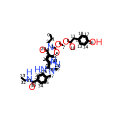 CCCN(C(=O)OCOC(=O)Cc1ccc(O)cc1)C(=O)c1cc2c(Nc3cc(C(=O)NCC)ccc3C)ncnn2c1